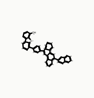 Oc1cccc2c1oc1c(-c3ccc(-c4cc5c6ccccc6c(-c6ccc7ccccc7c6)cc5c5ccccc45)cc3)cccc12